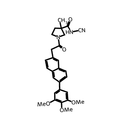 COc1cc(-c2ccc3cc(CC(=O)N4CCC(C)(C(=O)NC#N)C4)ccc3c2)cc(OC)c1OC